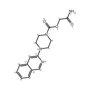 NC(=O)COC(=O)N1CCN(c2cc3ccccc3cn2)CC1